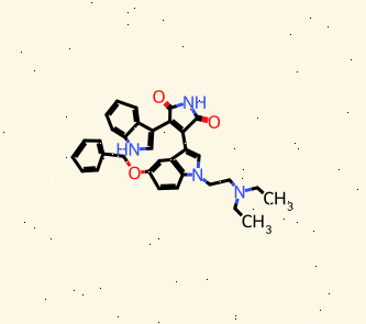 CCN(CC)CCn1cc(C2=C(c3c[nH]c4ccccc34)C(=O)NC2=O)c2cc(OCc3ccccc3)ccc21